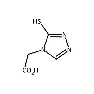 O=C(O)Cn1cnnc1S